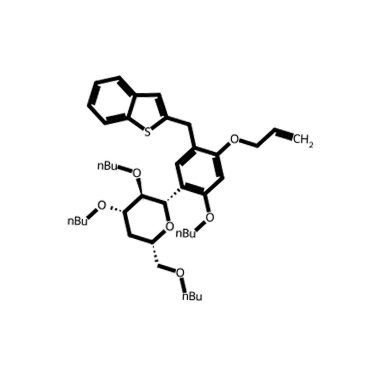 C=CCOc1cc(OCCCC)c([C@@H]2O[C@H](COCCCC)C[C@H](OCCCC)[C@H]2OCCCC)cc1Cc1cc2ccccc2s1